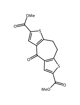 COC(=O)c1cc2c(s1)CCc1sc(C(=O)OC)cc1C2=O